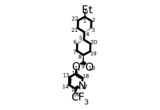 CC[C@H]1CC[C@H]([C@H]2CC[C@H](C(=O)Oc3ccc(C(F)(F)F)nc3)CC2)CC1